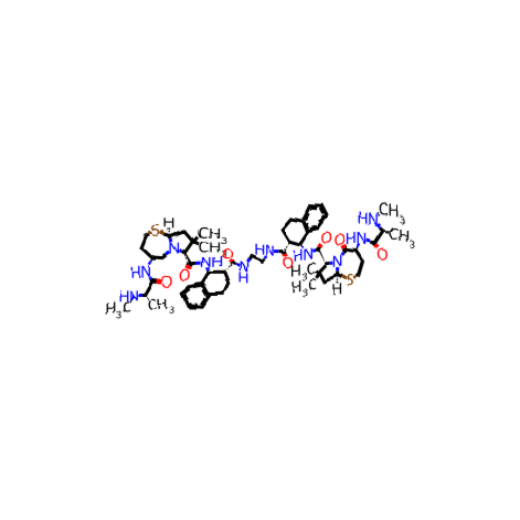 CN[C@@H](C)C(=O)N[C@H]1CCS[C@H]2CC(C)(C)[C@@H](C(=O)N[C@@H]3c4ccccc4CC[C@H]3C(=O)NCCNC(=O)[C@@H]3CCc4ccccc4[C@@H]3NC(=O)[C@H]3N4C(=O)[C@@H](NC(=O)[C@H](C)NC)CCS[C@H]4CC3(C)C)N2C1